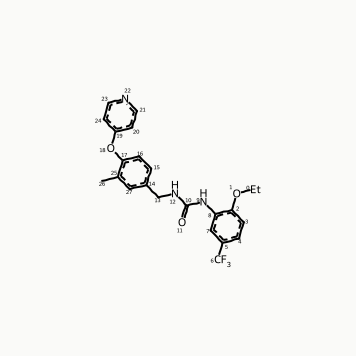 CCOc1ccc(C(F)(F)F)cc1NC(=O)NCc1ccc(Oc2ccncc2)c(C)c1